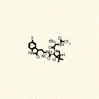 CC(C)(C)[C@H](NC(=O)C(F)(F)F)C(=O)N1C[C@H]2[C@@H]([C@H]1C(=O)N[C@H](C#N)CC1C(=O)Nc3ccc(F)cc31)C2(C)C